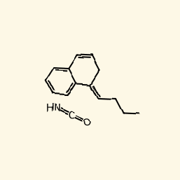 CCCC=C1CC=Cc2ccccc21.N=C=O